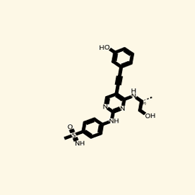 C[C@H](CO)Nc1nc(Nc2ccc(S(C)(=N)=O)cc2)ncc1C#Cc1cccc(O)c1